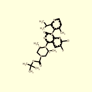 Cc1ccnc(C(C)C)c1-n1c(=O)nc(N2[C@@H](C)CN(C(=O)OC(C)(C)C)C[C@@H]2C)c2cc(F)c(Cl)nc21